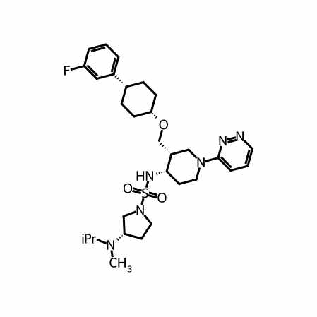 CC(C)N(C)[C@H]1CCN(S(=O)(=O)N[C@H]2CCN(c3cccnn3)C[C@H]2CO[C@H]2CC[C@@H](c3cccc(F)c3)CC2)C1